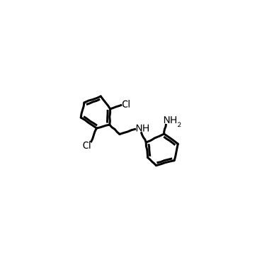 Nc1ccccc1NCc1c(Cl)cccc1Cl